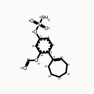 NS(=O)(=O)Oc1ccc(C2=CCCCCC2)c(OC=O)c1